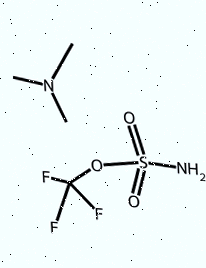 CN(C)C.NS(=O)(=O)OC(F)(F)F